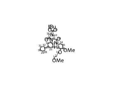 COCCCOc1cc(NC(=O)C2CN(C(=O)OC(C)(C)C)CC(=O)N2c2cccc(-c3ccccc3)c2)ccc1OC